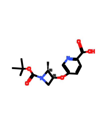 C[C@@H]1[C@@H](Oc2ccc(C(=O)O)nc2)CN1C(=O)OC(C)(C)C